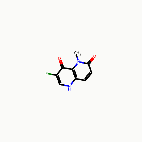 Cn1c(=O)ccc2[nH]cc(F)c(=O)c21